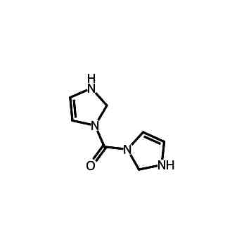 O=C(N1C=CNC1)N1C=CNC1